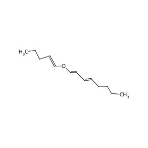 CCCC=COC=CC=CCCCC